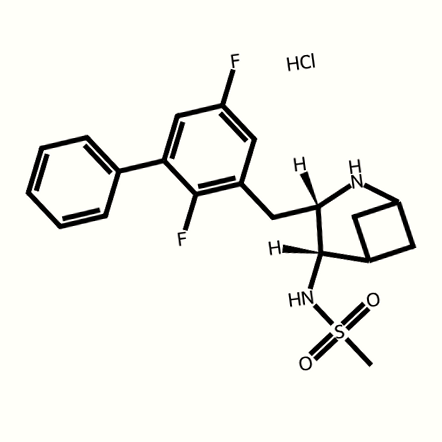 CS(=O)(=O)N[C@H]1C2CC(C2)N[C@H]1Cc1cc(F)cc(-c2ccccc2)c1F.Cl